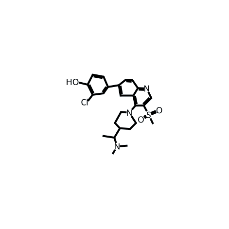 CC(C1CCN(c2c(S(C)(=O)=O)cnc3ccc(-c4ccc(O)c(Cl)c4)cc23)CC1)N(C)C